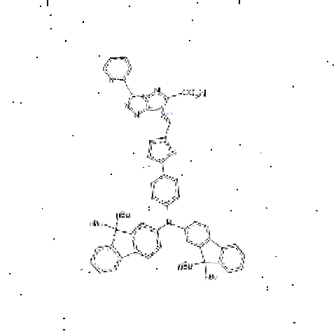 CCCCC1(CCCC)c2ccccc2-c2ccc(N(c3ccc(-c4ccc(/C=c5/c(C(=O)O)nn6c(-c7ccccn7)nnc56)s4)cc3)c3ccc4c(c3)C(CCCC)(CCCC)c3ccccc3-4)cc21